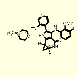 COc1c(F)cccc1Nc1c(-c2ccncc2OC[C@H]2CN(C)CCO2)[nH]c2c1C(=O)N[C@@H]1C[C@H]21